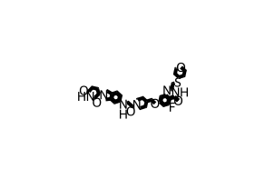 O=C1CCC(N2Cc3ccc(NCC(=O)N4CCC(COc5cc(F)c6c(=O)[nH]c(CSC7CCOCC7)nc6c5)CC4)cc3C2)C(=O)N1